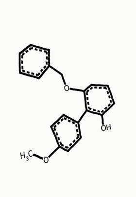 COc1ccc(-c2c(O)cccc2OCc2ccccc2)cc1